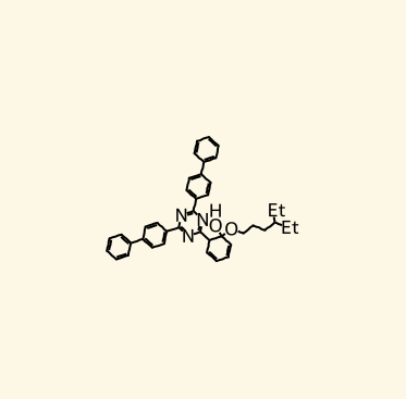 CCC(CC)CCCOC1(O)C=CC=CC1c1nc(-c2ccc(-c3ccccc3)cc2)nc(-c2ccc(-c3ccccc3)cc2)n1